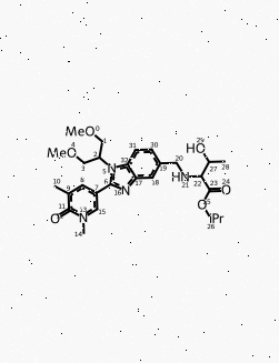 COCC(COC)n1c(-c2cc(C)c(=O)n(C)c2)nc2cc(CNC(C(=O)OC(C)C)C(C)O)ccc21